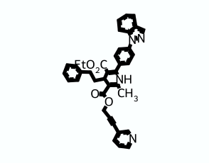 CCOC(=O)C1=C(c2ccc(-n3ncc4ccccc43)cc2)NC(C)=C(C(=O)OCC#Cc2cccnc2)C1CCc1ccccc1